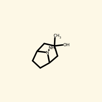 CC1(O)CC2CCC(C1)N2N